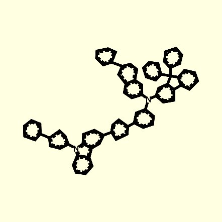 c1ccc(-c2ccc(-n3c4ccccc4c4cc(-c5ccc(-c6cccc(N(c7ccc8c(c7)C(c7ccccc7)(c7ccccc7)c7ccccc7-8)c7ccc8cc(-c9ccccc9)ccc8c7)c6)cc5)ccc43)cc2)cc1